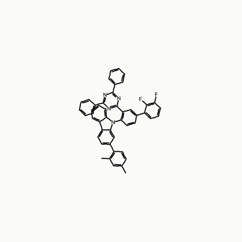 Cc1ccc(-c2ccc3c4ccccc4n(-c4ccc(-c5cccc(F)c5F)cc4-c4nc(-c5ccccc5)nc(-c5ccccc5)n4)c3c2)c(C)c1